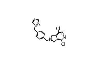 Clc1nnc(Cl)c2c1CN(Cc1ccc(Cn3cccn3)cc1)C2